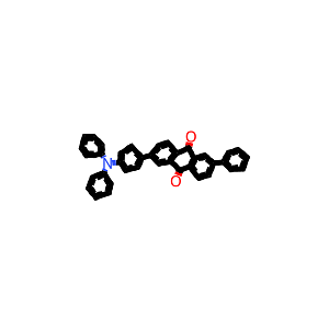 O=C1c2ccc(-c3ccc(N(c4ccccc4)c4ccccc4)cc3)cc2C(=O)c2ccc(-c3ccccc3)cc21